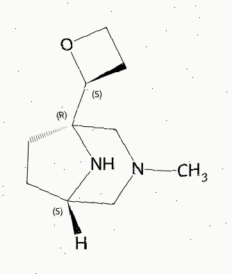 CN1C[C@@H]2CC[C@]([C@@H]3CCO3)(C1)N2